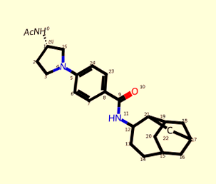 CC(=O)N[C@H]1CCN(c2ccc(C(=O)NC3CCC4CC5CC(C4)C3C5)cc2)C1